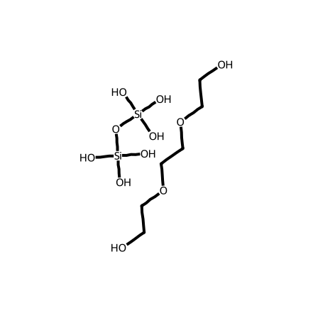 OCCOCCOCCO.O[Si](O)(O)O[Si](O)(O)O